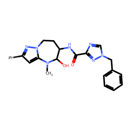 CC(C)c1cc2n(n1)CCC(NC(=O)c1ncn(Cc3ccccc3)n1)C(O)N2C